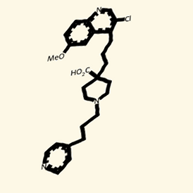 COc1ccc2ncc(Cl)c(CCCC3(C(=O)O)CCN(CCCc4ccncc4)CC3)c2c1